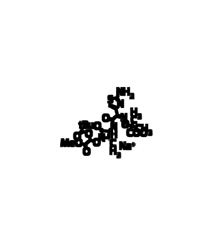 COC(=O)C(OC(=O)C(C)(C)C)ON1C(=O)[C@@H](NC(=O)/C(=N\OC(C)(C)C(=O)[O-])c2csc(N)n2)[C@@H]1C.[Na+]